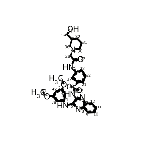 COc1cc(Nc2nc3ccccc3nc2NS(=O)(=O)c2cccc(NC(=O)CN3CCCC(CO)C3)c2)cc(OC)c1